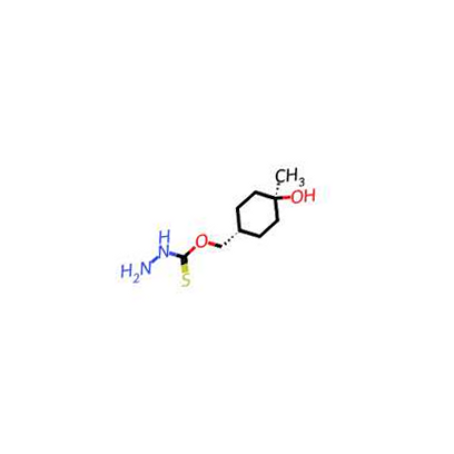 C[C@]1(O)CC[C@H](COC(=S)NN)CC1